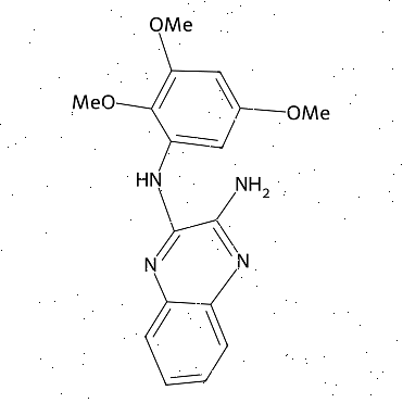 COc1cc(Nc2nc3ccccc3nc2N)c(OC)c(OC)c1